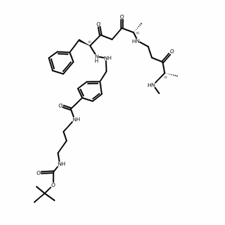 CN[C@@H](C)C(=O)CCN[C@@H](C)C(=O)CC(=O)[C@H](Cc1ccccc1)NNCc1ccc(C(=O)NCCCNC(=O)OC(C)(C)C)cc1